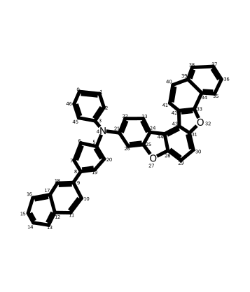 c1ccc(N(c2ccc(-c3ccc4ccccc4c3)cc2)c2ccc3c(c2)oc2ccc4oc5c6ccccc6ccc5c4c23)cc1